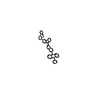 c1ccc(-c2c3ccccc3c(-c3ccc4cc(-n5c6ccccc6c6cc(-c7cccc8c7sc7ccccc78)ccc65)ccc4c3)c3ccccc23)cc1